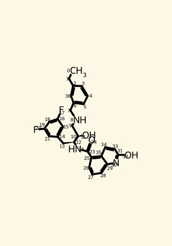 CCc1cccc(CNC[C@@H](O)[C@H](Cc2cc(F)cc(F)c2)NC(=O)c2cccc3nc(O)ccc23)c1